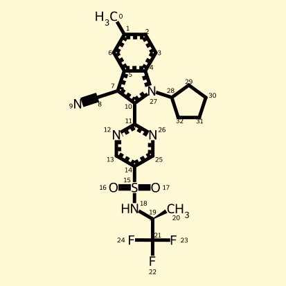 Cc1ccc2c(c1)c(C#N)c(-c1ncc(S(=O)(=O)N[C@@H](C)C(F)(F)F)cn1)n2C1CCCC1